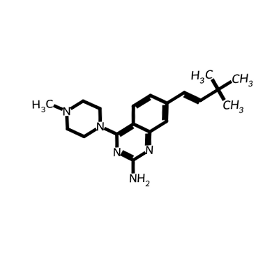 CN1CCN(c2nc(N)nc3cc(C=CC(C)(C)C)ccc23)CC1